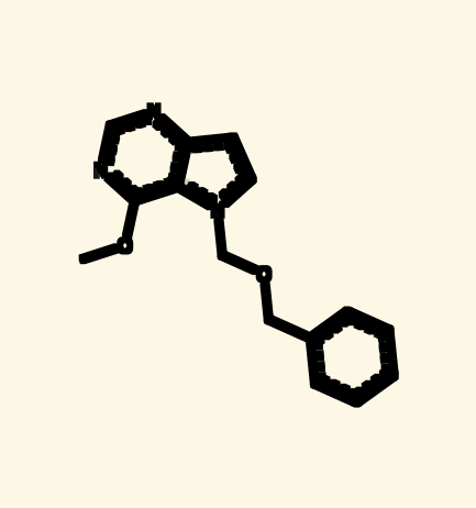 COc1ncnc2ccn(COCc3ccccc3)c12